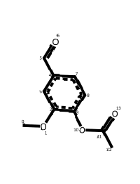 COc1cc([C]=O)ccc1OC(C)=O